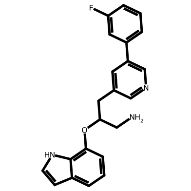 NCC(Cc1cncc(-c2cccc(F)c2)c1)Oc1cccc2cc[nH]c12